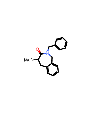 CNC1Cc2ccccc2CN(Cc2ccccc2)C1=O